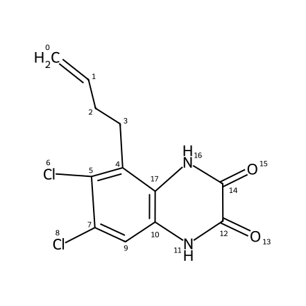 C=CCCc1c(Cl)c(Cl)cc2[nH]c(=O)c(=O)[nH]c12